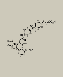 COc1cccc(-c2nc3sccn3c2-c2ccnc(NC3CCN(S(=O)(=O)c4ccc(CCC(=O)O)cc4)CC3)n2)c1